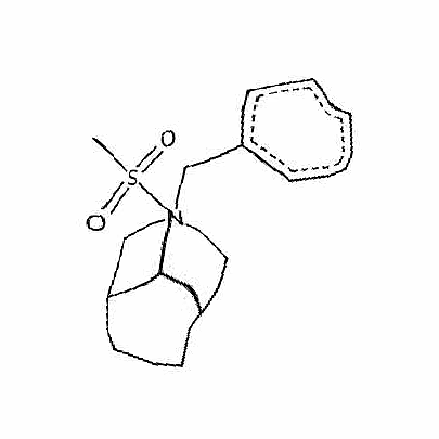 CS(=O)(=O)CC1C2CCC1CN(Cc1ccccc1)C2